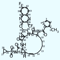 Cc1ccsc1C(=O)N[C@H]1CCCCCC=C[C@@H]2C[C@@]2(C(=O)NS(=O)(=O)C2CC2)NC(=O)[C@@H]2C[C@@H](Oc3nc4cc(F)ccc4nc3C(F)(F)F)CN2C1=O